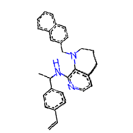 C=Cc1ccc(C(C)Nc2nccc3c2N(Cc2ccc4ccccc4c2)CCC3)cc1